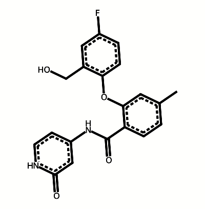 Cc1ccc(C(=O)Nc2cc[nH]c(=O)c2)c(Oc2ccc(F)cc2CO)c1